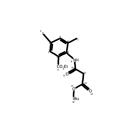 CCOC(=O)c1cc(I)cc(C)c1NC(=O)CC(=O)OC(C)(C)C